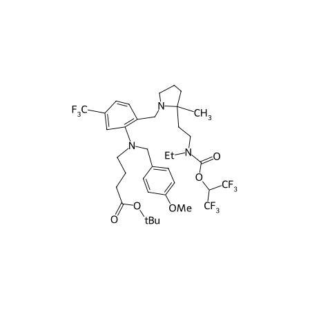 CCN(CCC1(C)CCCN1Cc1ccc(C(F)(F)F)cc1N(CCCC(=O)OC(C)(C)C)Cc1ccc(OC)cc1)C(=O)OC(C(F)(F)F)C(F)(F)F